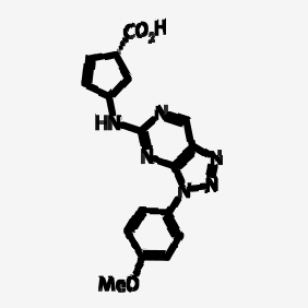 COc1ccc(-n2nnc3cnc(NC4C=C[C@H](C(=O)O)C4)nc32)cc1